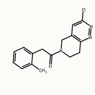 Cc1ccccc1CC(=O)N1CCc2nnc(Cl)cc2C1